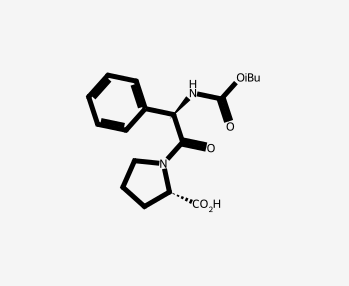 CC(C)COC(=O)N[C@@H](C(=O)N1CCC[C@H]1C(=O)O)c1ccccc1